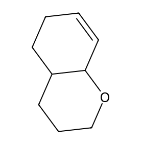 C1=CC2OCCCC2CC1